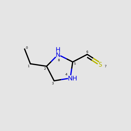 CCC1CNC(C=S)N1